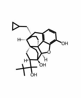 CC(C)(C)C(C)(O)[C@H]1C[C@@]23CC[C@]1(O)[C@@H]1Oc4c(O)ccc5c4[C@@]12CC[C@@H](CC1CC1)[C@@H]3C5